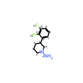 NN1CCCC(c2cccc(F)c2F)C1